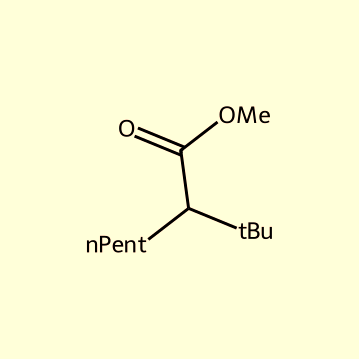 CCCCCC(C(=O)OC)C(C)(C)C